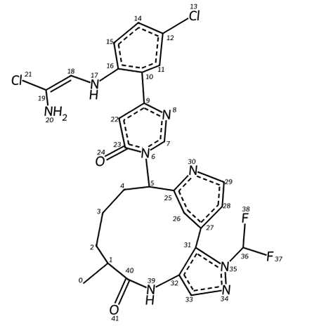 CC1CCCC(n2cnc(-c3cc(Cl)ccc3N/C=C(\N)Cl)cc2=O)c2cc(ccn2)-c2c(cnn2C(F)F)NC1=O